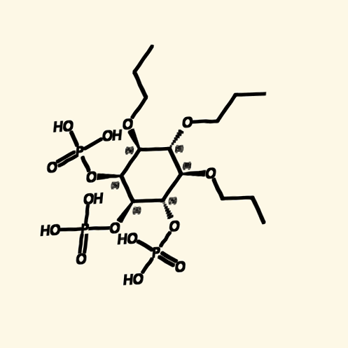 CCCO[C@@H]1[C@@H](OCCC)[C@H](OP(=O)(O)O)[C@@H](OP(=O)(O)O)[C@@H](OP(=O)(O)O)[C@H]1OCCC